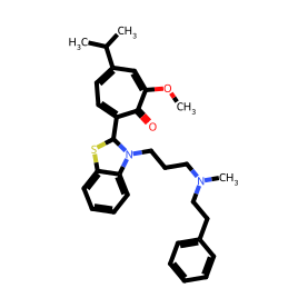 COc1cc(C(C)C)ccc(C2Sc3ccccc3N2CCCN(C)CCc2ccccc2)c1=O